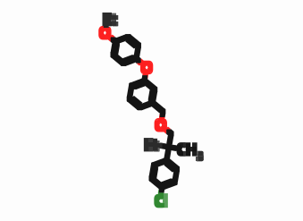 CCOc1ccc(Oc2cccc(COCC(C)(CC)c3ccc(Cl)cc3)c2)cc1